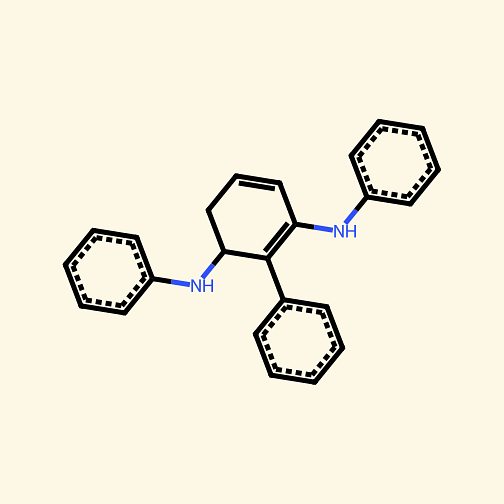 C1=CC(Nc2ccccc2)=C(c2ccccc2)C(Nc2ccccc2)C1